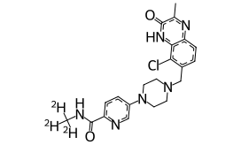 [2H]C([2H])([2H])NC(=O)c1ccc(N2CCN(Cc3ccc4nc(C)c(=O)[nH]c4c3Cl)CC2)cn1